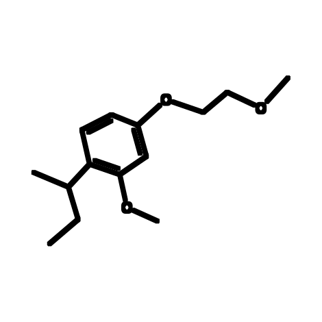 CCC(C)c1ccc(OCCOC)cc1OC